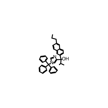 CCCc1ccc2cc(C(O)(c3cn(C(c4ccccc4)(c4ccccc4)c4ccccc4)cn3)C(C)C)ccc2c1